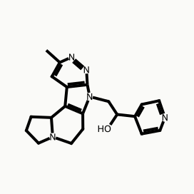 Cc1cc2c3c(n(CC(O)c4ccncc4)c2nn1)CCN1CCCC31